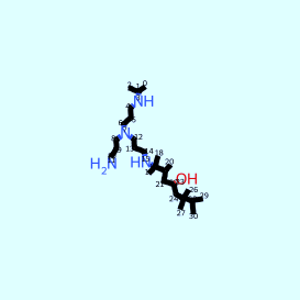 CC(C)NCCCN(CCCN)CCCNC(C)(C)C(C)CC(O)CC(C)(C)C(C)C